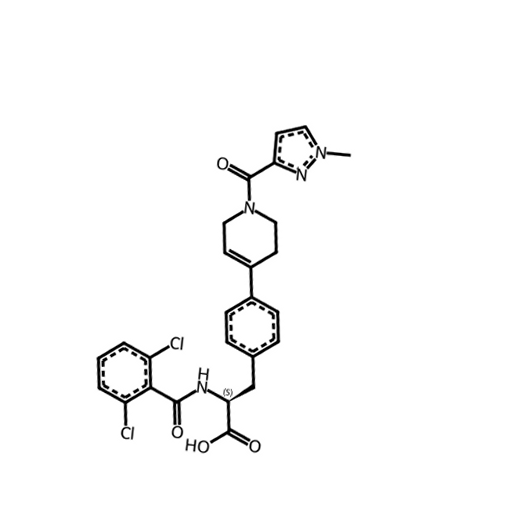 Cn1ccc(C(=O)N2CC=C(c3ccc(C[C@H](NC(=O)c4c(Cl)cccc4Cl)C(=O)O)cc3)CC2)n1